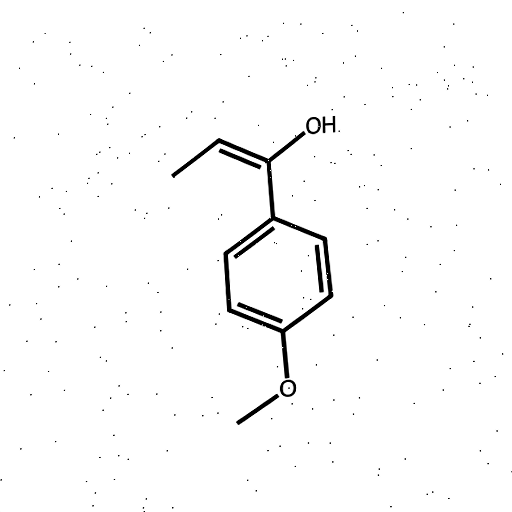 C/C=C(/O)c1ccc(OC)cc1